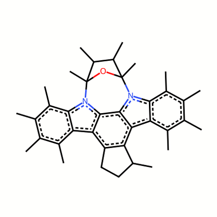 Cc1c(C)c(C)c2c(c1C)c1c3c(c4c5c(C)c(C)c(C)c(C)c5n5c4c1n2C1(C)OC5(C)C(C)C1C)C(C)CC3